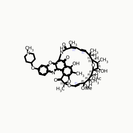 CO[C@H]1/C=C/O[C@@]2(C)Oc3c(C)c(O)c4c(=O)c(c5oc6cc(OC7CCN(C)CC7)ccc6nc-5c4c3C2=O)NC(=O)/C(C)=C\C=C\[C@H](C)[C@@H]2O[C@H]([C@H](O)[C@@H]2C)[C@H](OC(C)=O)[C@@H]1C